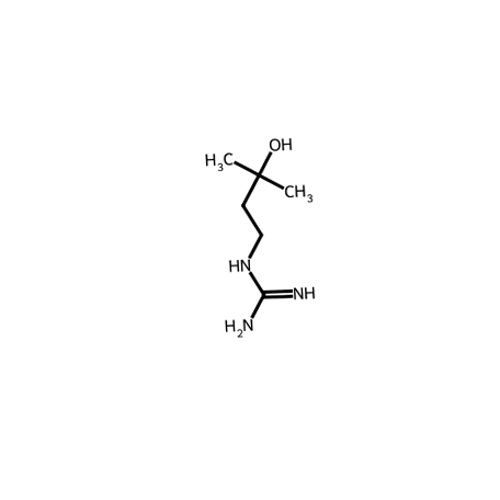 CC(C)(O)CCNC(=N)N